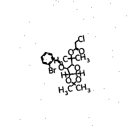 CC1(C)O[C@H]2O[C@H](C(C)(C)OC(=O)CCl)[C@H](OCc3ccccc3Br)[C@H]2O1